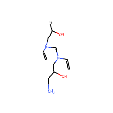 C=CN(CC(O)CC)CN(C=C)CC(O)CN